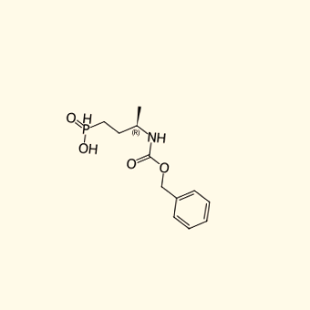 C[C@H](CC[PH](=O)O)NC(=O)OCc1ccccc1